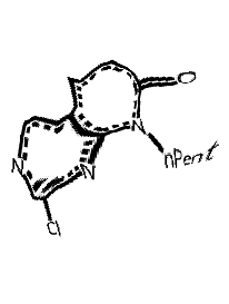 CCCCCn1c(=O)ccc2cnc(Cl)nc21